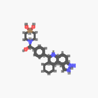 O=C(c1ccc(-c2nc3ccc4[nH]ncc4c3c3c2CCCC3)cc1)N1CCS(=O)(=O)CC1